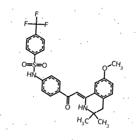 COc1ccc2c(c1)/C(=C/C(=O)c1ccc(NS(=O)(=O)c3ccc(C(F)(F)F)cc3)cc1)NC(C)(C)C2